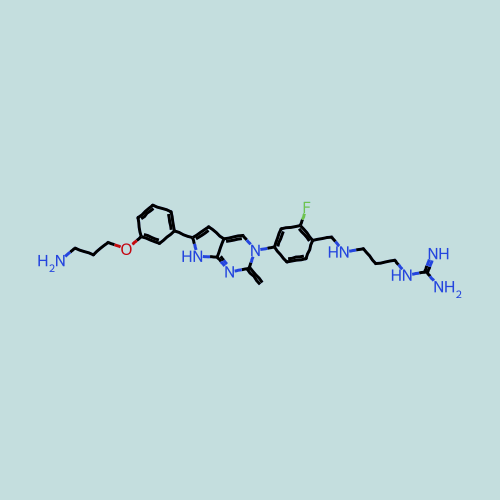 C=C1N=c2[nH]c(-c3cccc(OCCCN)c3)cc2=CN1c1ccc(CNCCCNC(=N)N)c(F)c1